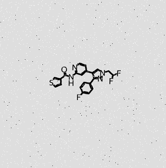 O=C(Nc1cc(-c2cn(CC(F)F)nc2-c2ccc(F)cc2)ccn1)c1ccsc1